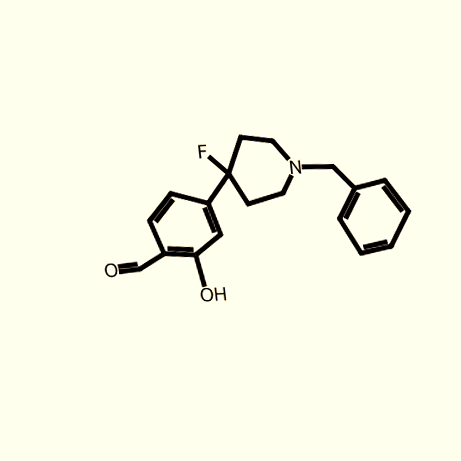 O=Cc1ccc(C2(F)CCN(Cc3ccccc3)CC2)cc1O